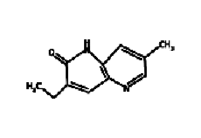 CCc1cc2ncc(C)cc2[nH]c1=O